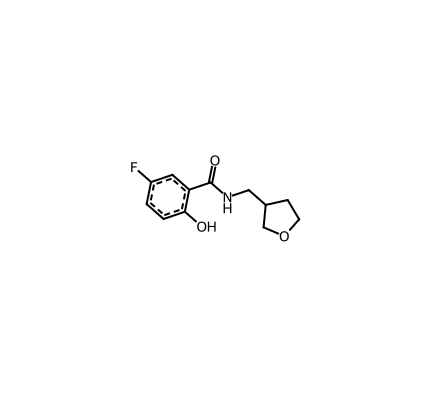 O=C(NCC1CCOC1)c1cc(F)ccc1O